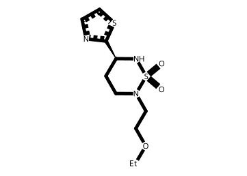 CCOCCN1CC[C@@H](c2nccs2)NS1(=O)=O